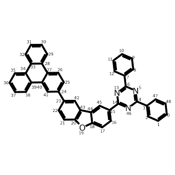 c1ccc(-c2nc(-c3ccccc3)nc(-c3ccc4oc5ccc(-c6ccc7c8ccccc8c8ccccc8c7c6)cc5c4c3)n2)cc1